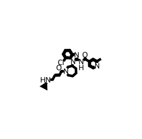 Cc1cc(C(=O)Nc2nc3cccc(Cl)c3n2C2CCCCN(C(=O)/C=C/CNC3CC3)C2)ccn1